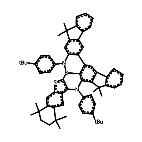 CC(C)(C)c1ccc(N2B3c4sc5cc6c(cc5c4N(c4ccc(C(C)(C)C)cc4)c4c3c(cc3c4C(C)(C)c4ccccc4-3)-c3cc4c(cc32)C(C)(C)c2ccccc2-4)C(C)(C)CCC6(C)C)cc1